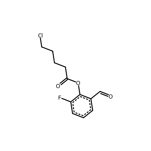 O=Cc1cccc(F)c1OC(=O)CCCCCl